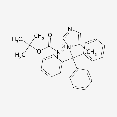 CC1=CN=C[N@+]1(NC(=O)OC(C)(C)C)C(c1ccccc1)(c1ccccc1)c1ccccc1